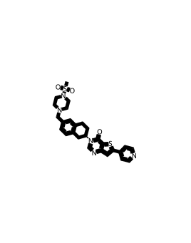 CS(=O)(=O)N1CCN(Cc2ccc3c(c2)CC[C@H](n2cnc4cc(-c5ccncc5)sc4c2=O)C3)CC1